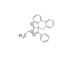 CCOC(=O)C1(C(=O)c2ccccc2)Cc2ccccc2-c2ccccc21